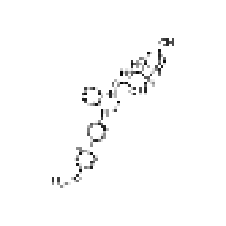 COc1cnc(-c2ccc(N3CCN(OC(=O)NC4[C@@H]5CC6C[C@H]4CC(O)(C6)C5)c4ccccc43)cc2)nc1